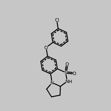 O=S1(=O)NC2CCCN2c2ccc(Oc3cccc(Cl)c3)cc21